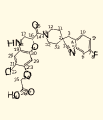 N#CC1(Cc2ccc(F)cc2)CCN(C(=O)C2CNc3cc(Cl)c(OCC(=O)O)cc3O2)CC1